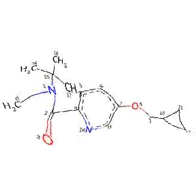 CN(C(=O)c1ccc(OCC2CC2)cn1)C(C)(C)C